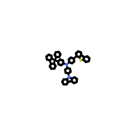 c1ccc(C2(c3ccc(N(c4ccc(-c5cccc6c5sc5ccccc56)cc4)c4ccc(-n5c6ccccc6c6ccccc65)cc4)cc3)c3ccccc3-c3ccccc32)cc1